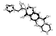 C[C@H](Cn1cnnn1)n1nnc2cc3c(cc2c1=O)OC1COCCN1C3=O